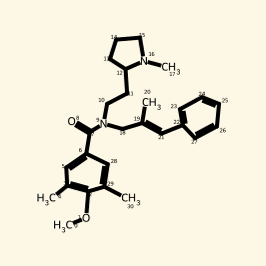 COc1c(C)cc(C(=O)N(CCC2CCCN2C)CC(C)=Cc2ccccc2)cc1C